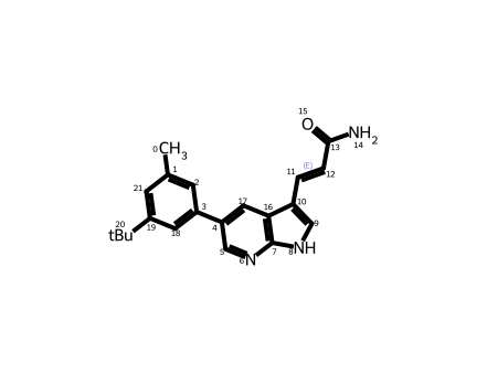 Cc1cc(-c2cnc3[nH]cc(/C=C/C(N)=O)c3c2)cc(C(C)(C)C)c1